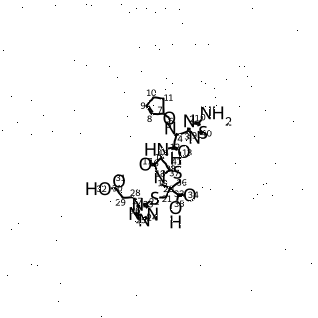 Nc1nc(C(=NOC2C=CCC2)C(=O)NC2C(=O)N3CC(CSc4nnnn4CCC(=O)O)(C(=O)O)CS[C@H]23)ns1